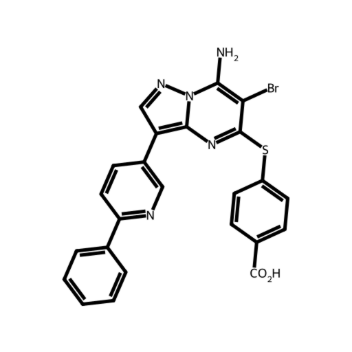 Nc1c(Br)c(Sc2ccc(C(=O)O)cc2)nc2c(-c3ccc(-c4ccccc4)nc3)cnn12